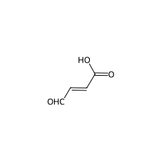 O=CC=CC(=O)O